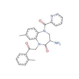 Cc1ccc2c(c1)N(CC(=O)c1ccccc1C)C(=O)C(N)CN2C(=O)c1ccccn1